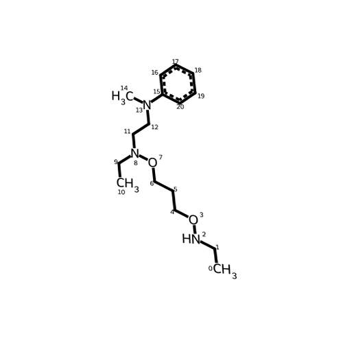 CCNOCCCON(CC)CCN(C)c1ccccc1